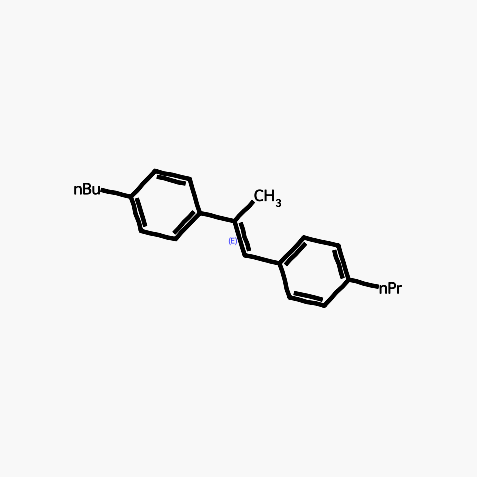 CCCCc1ccc(/C(C)=C/c2ccc(CCC)cc2)cc1